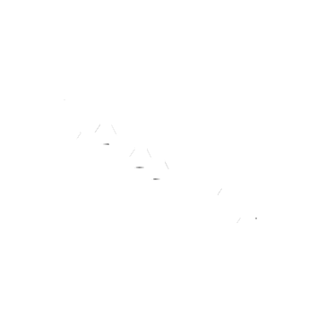 C=C(c1ccc(Oc2ccc3ccc(OCCOC(=O)CCC(=O)O)cc3c2)cc1)C1COC2(CCCCC2)OO1